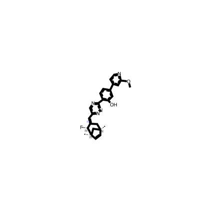 COc1cc(-c2ccc(-c3ncc(/C=C4\C[C@@]5(C)C=C[C@](C)(C5)[C@@H]4F)nn3)c(O)c2)ccn1